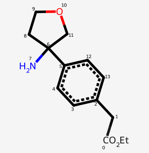 CCOC(=O)Cc1ccc(C2(N)CCOC2)cc1